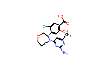 Cc1cc(N2CCCOC[C@@H]2c2cc(O)c(C(=O)O)cc2Cl)nc(N)n1